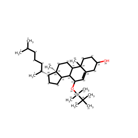 CC(C)CCCC(C)[C@H]1CCC2C3C(O[Si](C)(C)C(C)(C)C)C=C4CC(O)CCC4(C)C3CC[C@@]21C